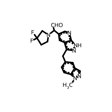 Cn1ncc2cc(Cc3n[nH]c4ncc(C(C=O)N5CCC(F)(F)C5)cc34)ccc21